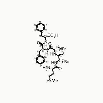 CCCC[C@H](NC(=O)[C@@H](N)CCSC)C(=O)N[C@@H](CC(C)C)C(=O)N[C@@H](Cc1ccccc1)C(=O)N[C@@H](Cc1ccccc1)C(=O)O